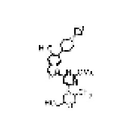 COc1nc(N2CC(CO)OCC2C)cc(-n2ncc3cc(C)c(C4CCN(C5COC5)CC4)cc32)n1